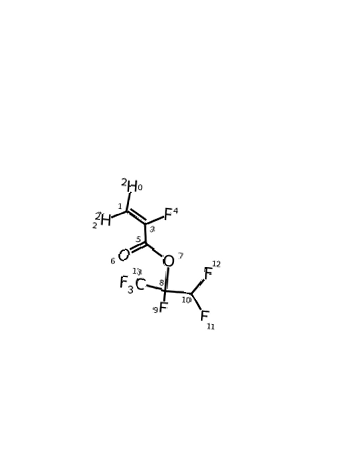 [2H]C([2H])=C(F)C(=O)OC(F)(C(F)F)C(F)(F)F